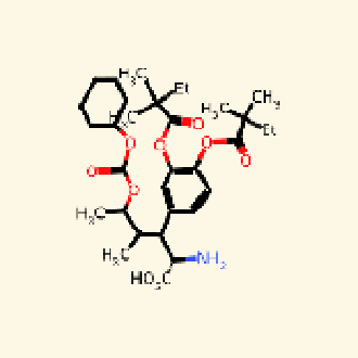 CCC(C)(C)C(=O)Oc1ccc(C(C(C)C(C)OC(=O)OC2CCCCC2)[C@H](N)C(=O)O)cc1OC(=O)C(C)(C)CC